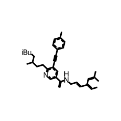 C=C(NC/C=C/C(C=C(C)C)=C/C)c1cnc(CCC(C)CC(C)CC)c(C#Cc2ccc(C)cc2)c1